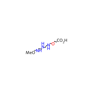 COCNCCNCCNCOCCC(=O)O